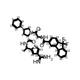 CC(NC(=O)[C@@H]1C[C@@H](c2ccccc2)CN1C(=O)CNC(=O)c1ccc2c(c1)-c1ccccc1C2(F)F)c1cc(C(=N)N)cs1